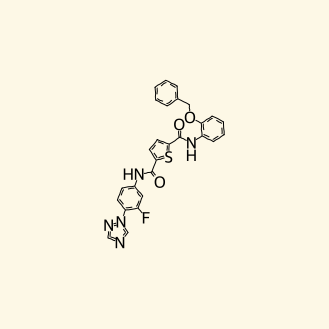 O=C(Nc1ccc(-n2cncn2)c(F)c1)c1ccc(C(=O)Nc2ccccc2OCc2ccccc2)s1